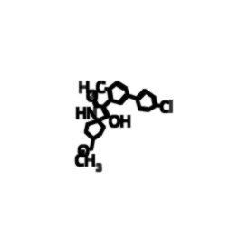 COCC1CCC2(CC1)NC(=O)C(c1cc(-c3ccc(Cl)cc3)ccc1C)=C2O